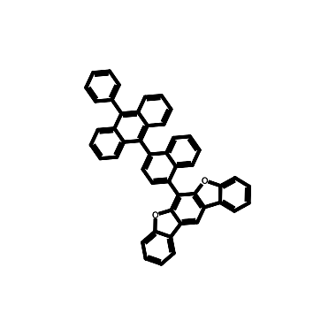 c1ccc(-c2c3ccccc3c(-c3ccc(-c4c5oc6ccccc6c5cc5c4oc4ccccc45)c4ccccc34)c3ccccc23)cc1